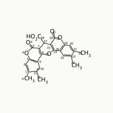 Cc1cc2oc(=O)c3c(c2cc1C)Oc1c(c(=O)oc2cc(C)c(C)cc12)C3C(=O)O